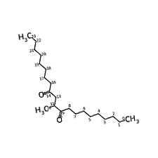 CCCCCCCCCC(=O)C(C)CC(=O)CCCCCCCC